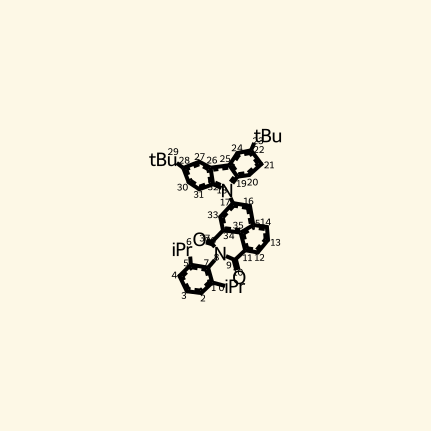 CC(C)c1cccc(C(C)C)c1N1C(=O)c2cccc3cc(-n4c5ccc(C(C)(C)C)cc5c5cc(C(C)(C)C)ccc54)cc(c23)C1=O